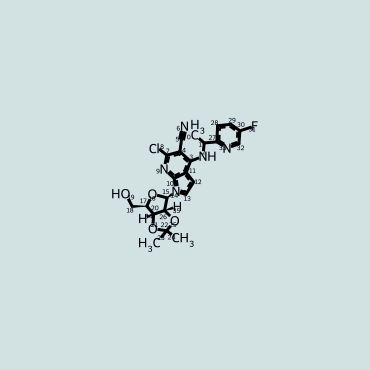 CC(Nc1c(C#N)c(Cl)nc2c1ccn2[C@@H]1O[C@H](CO)[C@H]2OC(C)(C)O[C@H]21)c1ccc(F)cn1